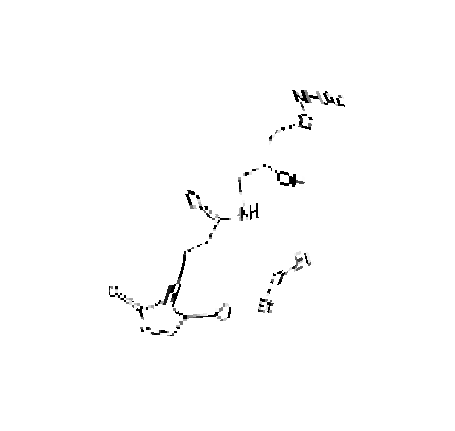 CC(=O)NOCC(O)CNC(=O)CCN1C(=O)C=CC1=O.CCOCC